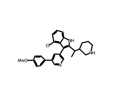 COc1ccc(-c2cncc(-c3c(C(C)C4CCCNC4)[nH]c4cccc(Cl)c34)c2)cc1